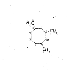 CC1C[CH]CC(C)CC(C)C1